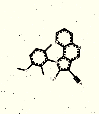 COc1ccc(C)c(-n2c(N)c(C#N)c3cnc4cccnc4c32)c1C